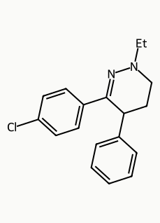 CCN1CCC(c2ccccc2)C(c2ccc(Cl)cc2)=N1